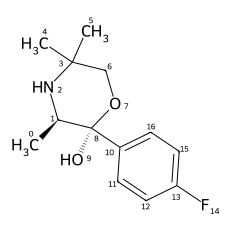 C[C@H]1NC(C)(C)CO[C@@]1(O)c1ccc(F)cc1